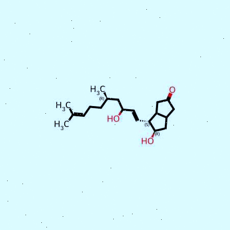 CC(C)=CCC[C@@H](C)CC(O)C=C[C@@H]1C2CC(=O)CC2C[C@H]1O